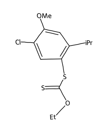 CCOC(=S)Sc1cc(Cl)c(OC)cc1C(C)C